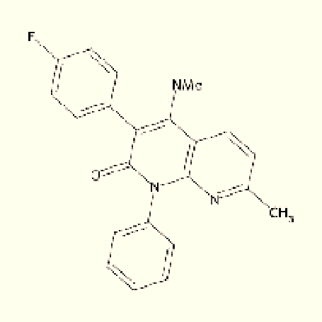 CNc1c(-c2ccc(F)cc2)c(=O)n(-c2ccccc2)c2nc(C)ccc12